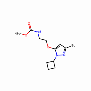 CCc1cc(OCCNC(=O)OC(C)(C)C)n(C2CCC2)n1